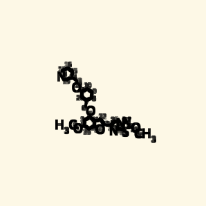 COc1cc(OCc2cccc(OCc3cccnc3)c2)c2cc(-c3cn4nc(OC)sc4n3)oc2c1